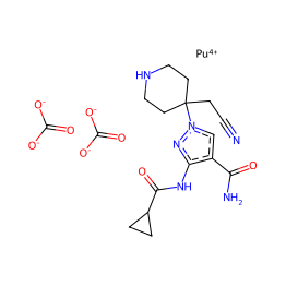 N#CCC1(n2cc(C(N)=O)c(NC(=O)C3CC3)n2)CCNCC1.O=C([O-])[O-].O=C([O-])[O-].[Pu+4]